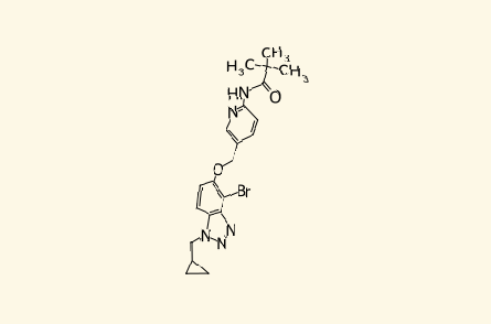 CC(C)(C)C(=O)Nc1ccc(COc2ccc3c(nnn3CC3CC3)c2Br)cn1